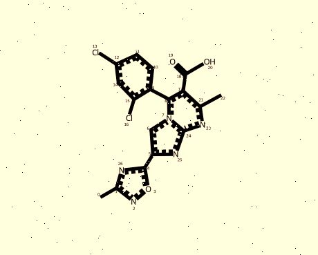 Cc1noc(-c2cn3c(-c4ccc(Cl)cc4Cl)c(C(=O)O)c(C)nc3n2)n1